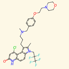 Cc1c(CCCN(C)Cc2ccc(OCCN3CCOCC3)cc2)c2c3c(Cl)cc(=O)[nH]c3ccc2n1CC(F)(F)C(F)(F)F